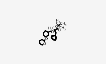 CC(C)(C)OC(=O)C(C)(Cc1ccccc1)OCC1CCC[C@H](OC2CCCCO2)C1